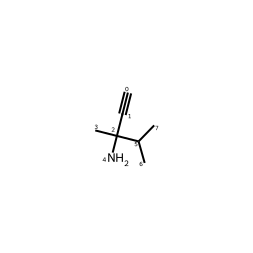 C#CC(C)(N)C(C)C